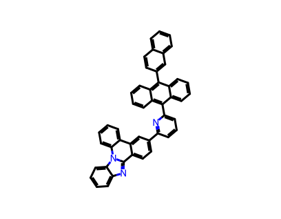 c1cc(-c2ccc3c(c2)c2ccccc2n2c4ccccc4nc32)nc(-c2c3ccccc3c(-c3ccc4ccccc4c3)c3ccccc23)c1